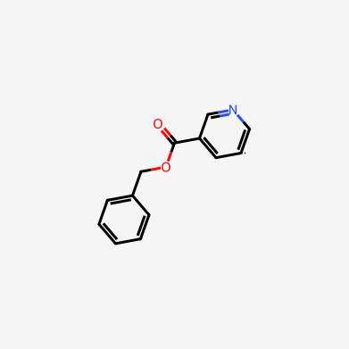 O=C(OCc1ccccc1)c1c[c]cnc1